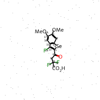 COc1cc2[se]c(C(=O)CC(F)(F)C(=O)O)c(F)c2cc1OC